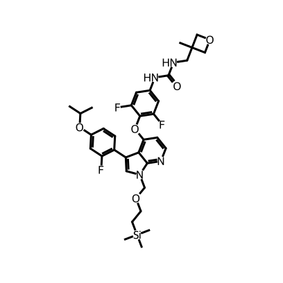 CC(C)Oc1ccc(-c2cn(COCC[Si](C)(C)C)c3nccc(Oc4c(F)cc(NC(=O)NCC5(C)COC5)cc4F)c23)c(F)c1